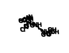 COc1ccc2c(c1)C(c1ccc(Cl)cc1)=N[C@@H](CC(=O)NCCCCCNC(=O)c1cccc(B(O)O)c1)c1nnc(C)n1-2